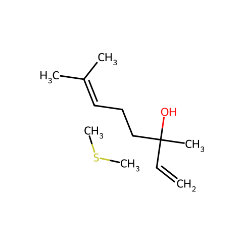 C=CC(C)(O)CCC=C(C)C.CSC